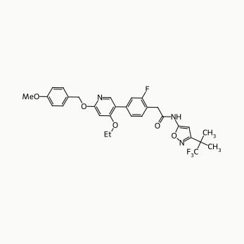 CCOc1cc(OCc2ccc(OC)cc2)ncc1-c1ccc(CC(=O)Nc2cc(C(C)(C)C(F)(F)F)no2)c(F)c1